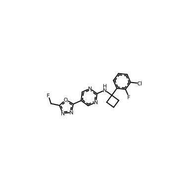 FCc1nnc(-c2cnc(NC3(c4cccc(Cl)c4F)CCC3)nc2)o1